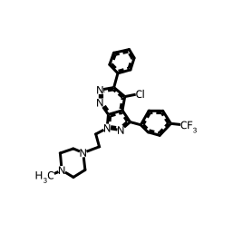 CN1CCN(CCn2nc(-c3ccc(C(F)(F)F)cc3)c3c(Cl)c(-c4ccccc4)nnc32)CC1